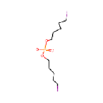 [O]P(=O)(OCCCCCI)OCCCCCI